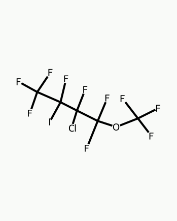 FC(F)(F)OC(F)(F)C(F)(Cl)C(F)(I)C(F)(F)F